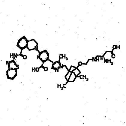 Cc1c(-c2ccc(N3CCc4cccc(C(=O)Nc5nc6ccccc6s5)c4C3)nc2C(=O)O)cnn1CC12CC3(C)CC(C)(C1)CC(OCCNC[C@@H](N)CC(=O)O)(C3)C2